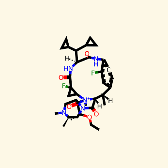 CCO[C@H](C)C(=O)[N+]1(C)C2CC2(F)C(=O)N[C@@H](C(C2CC2)C2CC2)C(=O)Nc2ccc(cc2F)[C@H](C)[C@@H]1C(=O)N1CCN(C)[C@H](C)C1